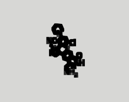 Cn1ncc(-c2ccc3c(=O)[nH]nc(CN)c3c2)c1-c1c(F)c(Cl)cc(N2CCCCC2)c1C#N